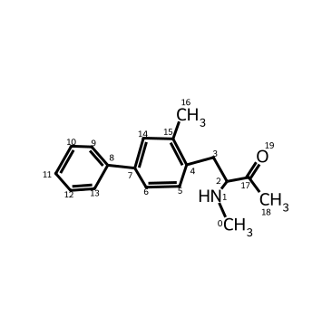 CNC(Cc1ccc(-c2ccccc2)cc1C)C(C)=O